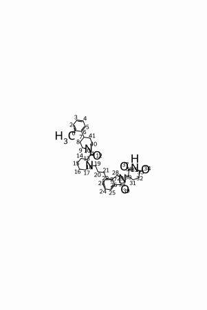 Cc1ccccc1C1CCN(C(=O)C2CCCCN2CCCc2cccc3c2CN(C2CCC(=O)NC2=O)C3=O)CC1